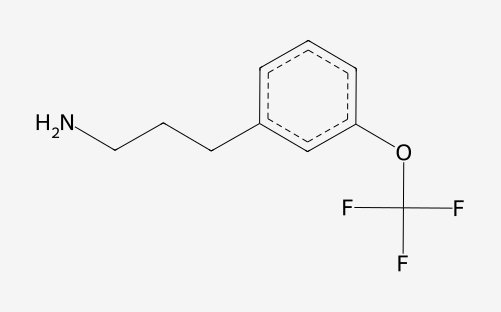 NCCCc1cccc(OC(F)(F)F)c1